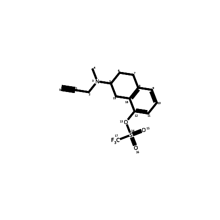 C#CCN(C)C1CCc2cccc(OS(=O)(=O)C(F)(F)F)c2C1